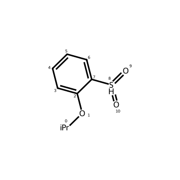 CC(C)Oc1ccccc1[SH](=O)=O